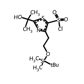 CC(C)(O)c1nc(CCO[Si](C)(C)C(C)(C)C)c(S(=O)(=O)Cl)s1